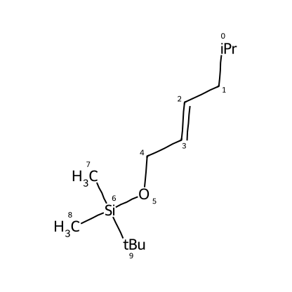 CC(C)CC=CCO[Si](C)(C)C(C)(C)C